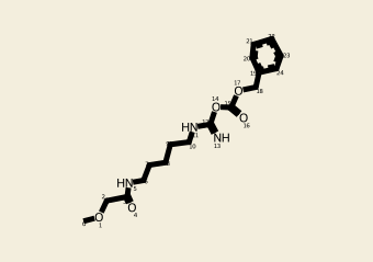 COCC(=O)NCCCCCNC(=N)OC(=O)OCc1ccccc1